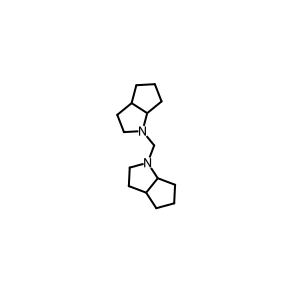 C1CC2CCN(CN3CCC4CCCC43)C2C1